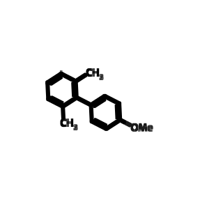 COc1ccc(-c2c(C)[c]ccc2C)cc1